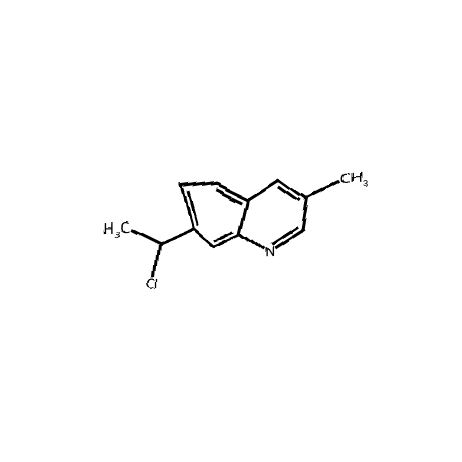 Cc1cnc2cc(C(C)Cl)ccc2c1